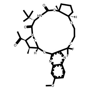 COc1ccc2nc3c(nc2c1)O[C@H]1CN(C(=O)[C@H](C(C)(C)C)NC(=O)O[C@]2(C)CCC[C@H]2OCCCC3(F)F)[C@H](C(C)=O)[C@@H]1C